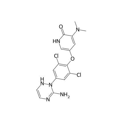 CN(C)c1cc(Oc2c(Cl)cc(N3NC=CN=C3N)cc2Cl)c[nH]c1=O